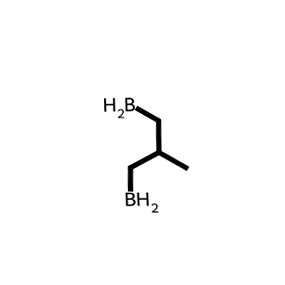 BCC(C)CB